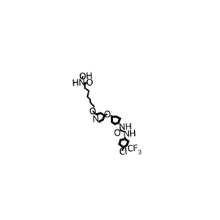 O=C(CCCCCCOc1cc(Oc2ccc(NC(=O)Nc3ccc(Cl)c(C(F)(F)F)c3)cc2)ccn1)NO